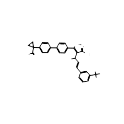 Cc1noc(-c2ccc(-c3ccc(C4(C(=O)O)CC4)cc3)cc2)c1C(O)C=Cc1cccc(C(F)(F)F)c1